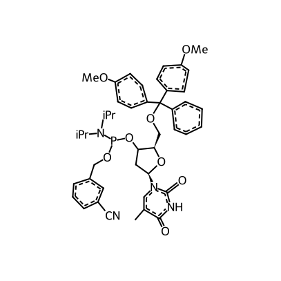 COc1ccc(C(OC[C@H]2O[C@@H](n3cc(C)c(=O)[nH]c3=O)CC2OP(OCc2cccc(C#N)c2)N(C(C)C)C(C)C)(c2ccccc2)c2ccc(OC)cc2)cc1